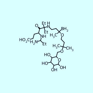 BC(C)(CCNC(CC)(CC)C(=O)C(CCC(=O)O)NC(N)CC)OCCC(C)(C)OCC1OC(O)C(O)C(O)C1O